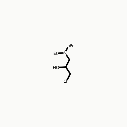 CCCN(CC)CC(O)CCl